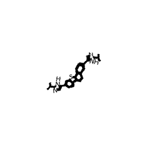 CC(C)c1ncc(-c2ccc3c(ccc4c5ccc(-c6cnc(C(C)C)[nH]6)cc5sc34)c2)[nH]1